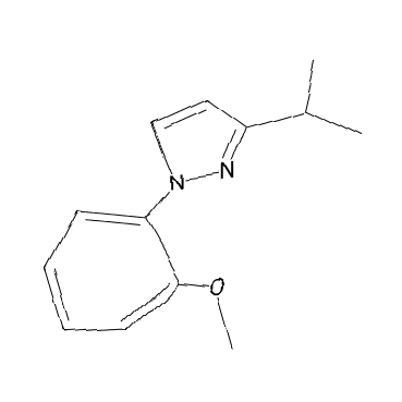 COc1ccccc1-n1ccc(C(C)C)n1